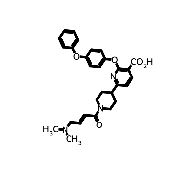 CN(C)C/C=C/C(=O)N1CCC(c2ccc(C(=O)O)c(Oc3ccc(Oc4ccccc4)cc3)n2)CC1